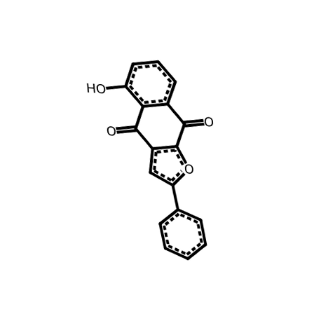 O=C1c2cccc(O)c2C(=O)c2cc(-c3ccccc3)oc21